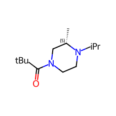 CC(C)N1CCN(C(=O)C(C)(C)C)C[C@@H]1C